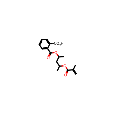 C=C(C)C(=O)OC(C)CC(C)OC(=O)c1ccccc1C(=O)O